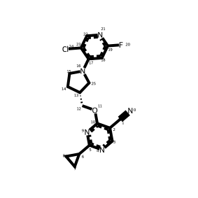 N#Cc1cnc(C2CC2)nc1OC[C@@H]1CCN(c2cc(F)ncc2Cl)C1